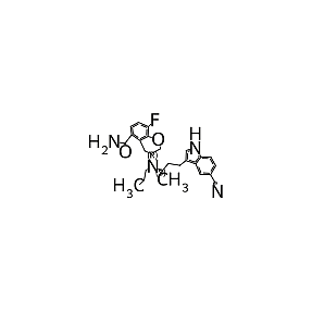 CCCN([C@H]1COc2c(F)ccc(C(N)=O)c2C1)[C@@H](C)CCc1c[nH]c2ccc(C#N)cc12